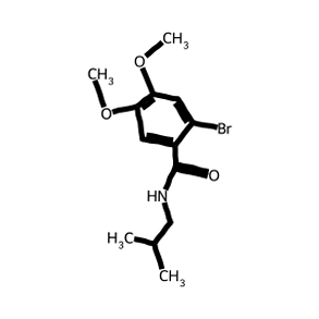 COc1cc(Br)c(C(=O)NCC(C)C)cc1OC